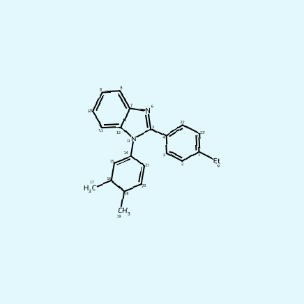 CCc1ccc(-c2nc3ccccc3n2C2=CC(C)C(C)C=C2)cc1